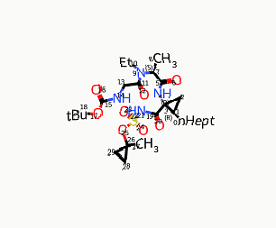 CCCCCCC[C@@H]1C[C@]1(NC(=O)[C@H](C)N(CC)C(=O)CNC(=O)OC(C)(C)C)C(=O)NS(=O)(=O)OC1(C)CC1